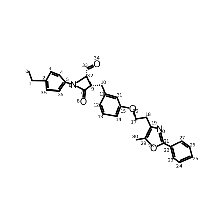 CCc1ccc(N2C(=O)[C@@H](Cc3cccc(OCCc4nc(-c5ccccc5)oc4C)c3)[C@H]2C=O)cc1